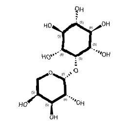 O[C@@H]1[C@@H](O)[C@H](O)[C@H](O[C@H]2OC[C@H](O)[C@H](O)[C@H]2O)[C@H](O)[C@H]1O